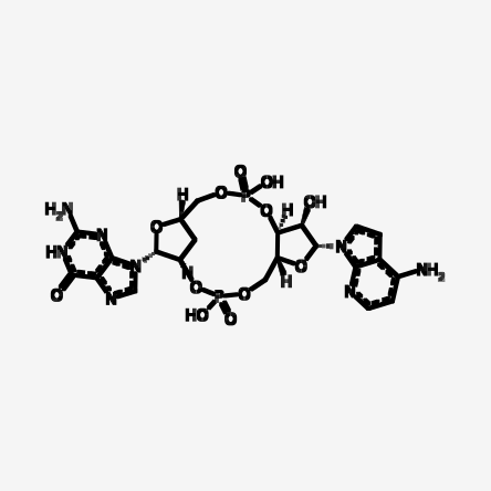 Nc1nc2c(ncn2[C@@H]2O[C@@H]3COP(=O)(O)O[C@H]4[C@@H](O)[C@H](n5ccc6c(N)ccnc65)O[C@@H]4COP(=O)(O)O[C@@H]2C3)c(=O)[nH]1